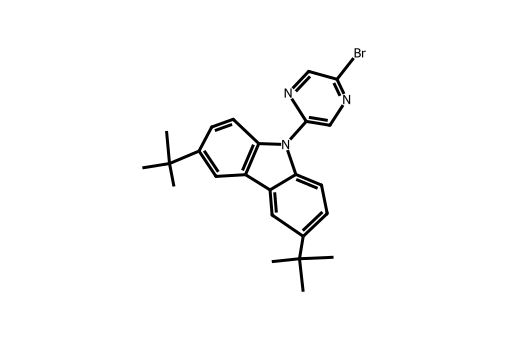 CC(C)(C)c1ccc2c(c1)c1cc(C(C)(C)C)ccc1n2-c1cnc(Br)cn1